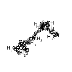 COc1cc2c(cc1OC(C)C)C(c1ccc(Cl)cc1)N(c1ccc(N(C)C[C@H]3CC[C@H](N(C)CCOCCOCC(=O)N[C@H](C(=O)N4C[C@H](O)C[C@H]4C(=O)NCc4ccc(-c5scnc5C)cc4)C(C)(C)C)CC3)cc1)C(=O)C2